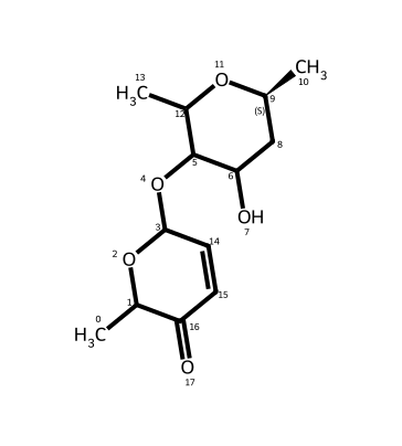 CC1OC(OC2C(O)C[C@H](C)OC2C)C=CC1=O